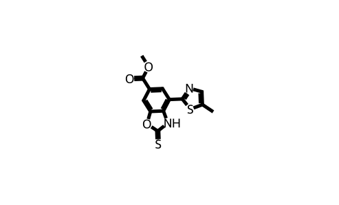 COC(=O)c1cc(-c2ncc(C)s2)c2[nH]c(=S)oc2c1